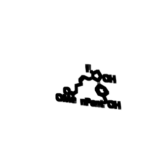 CCCCCC(O)c1ccc([C@@H]2[C@@H](C/C=C\CCCC(=O)OC)[C@@H](F)C[C@H]2O)cc1